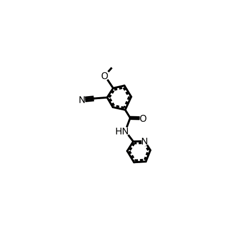 COc1ccc(C(=O)Nc2ccccn2)cc1C#N